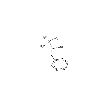 CC(C)(C)C(O)Cc1cccnc1